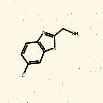 NCc1nc2ccc(Cl)cc2s1